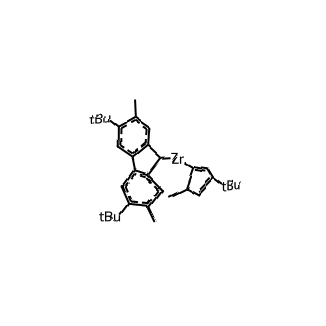 Cc1cc2c(cc1C(C)(C)C)-c1cc(C(C)(C)C)c(C)cc1[CH]2[Zr][C]1=CC(C(C)(C)C)=CC1C